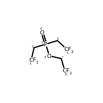 O=P(CC(F)(F)F)(CC(F)(F)F)OCC(F)(F)F